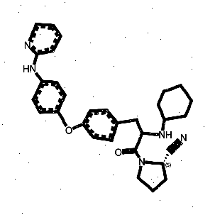 N#C[C@@H]1CCCN1C(=O)C(Cc1ccc(Oc2ccc(Nc3ccccn3)cc2)cc1)NC1CCCCC1